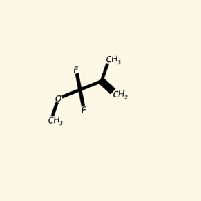 C=C(C)C(F)(F)OC